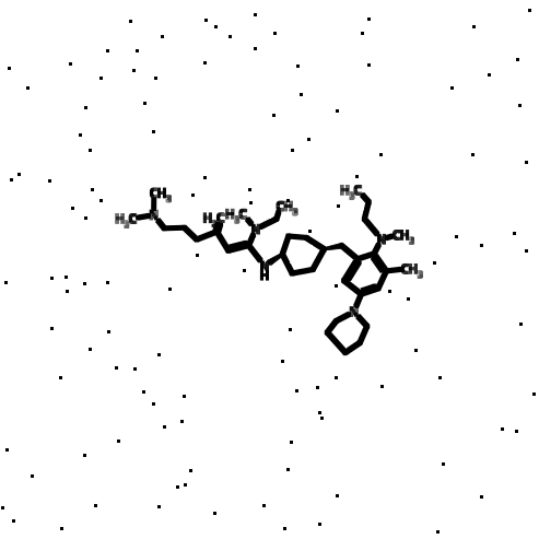 C=C(/C=C(/N[C@H]1CC[C@@H](Cc2cc(N3CCCCC3)cc(C)c2N(C)CCC)CC1)N(C)CC)CCCN(C)C